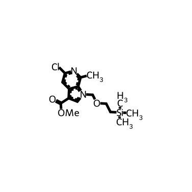 COC(=O)c1cn(COCC[Si](C)(C)C)c2c(C)nc(Cl)cc12